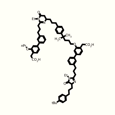 CCCOc1cc(-c2cccc(CCCC3=NC(CCCc4ccc(C(C)(C)CCCOc5cc(-c6cccc(CCCC7=NC(CCCc8ccc(C(C)(C)C)cc8)C(=O)N7CC)c6)ccc5CC(=O)O)cc4)CC(=O)N3CC)c2)ccc1CC(=O)O